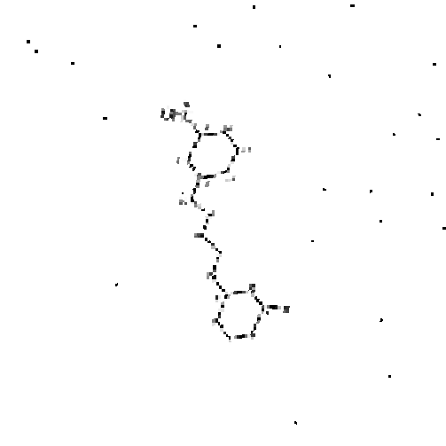 CC1CCCC(CCCCCC2CCCC(C=O)C2)C1